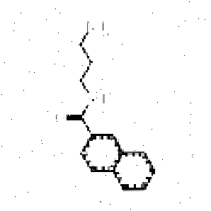 NCCCNC(=O)c1ccc2ccccc2c1